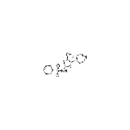 Cc1sc(NS(=O)(=O)c2ccccc2)nc1-c1ccncc1